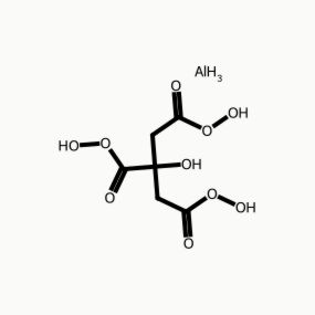 O=C(CC(O)(CC(=O)OO)C(=O)OO)OO.[AlH3]